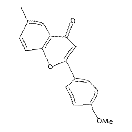 COc1ccc(-c2cc(=O)c3cc(C)ccc3o2)cc1